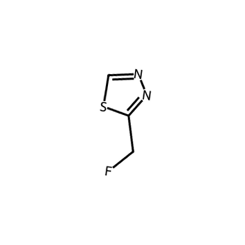 FCc1nncs1